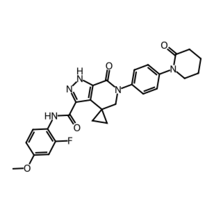 COc1ccc(NC(=O)c2n[nH]c3c2C2(CC2)CN(c2ccc(N4CCCCC4=O)cc2)C3=O)c(F)c1